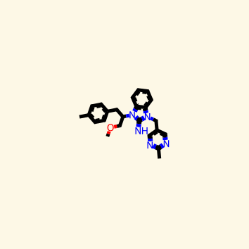 COCC(Cc1ccc(C)cc1)n1c(=N)n(Cc2cnc(C)nc2)c2ccccc21